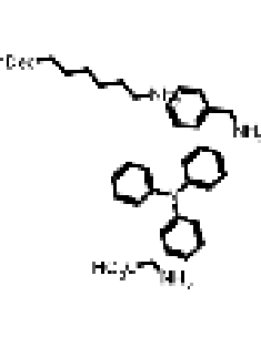 CCCCCCCCCCCCCCCCN.NCC(=O)O.NCc1ccccc1.c1ccc(N(c2ccccc2)c2ccccc2)cc1